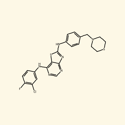 Fc1ccc(Nc2ncnc3nc(Nc4ccc(CN5CCSCC5)cc4)sc23)cc1Cl